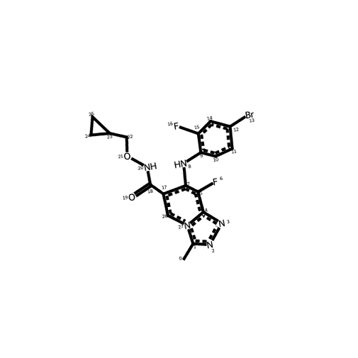 Cc1nnc2c(F)c(Nc3ccc(Br)cc3F)c(C(=O)NOCC3CC3)cn12